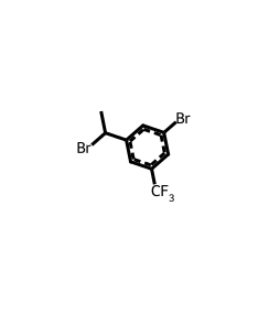 CC(Br)c1cc(Br)cc(C(F)(F)F)c1